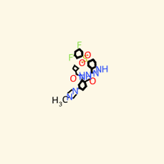 CN1CCN(c2ccc(C(=O)Nc3n[nH]c4ccc(S(=O)(=O)c5cc(F)cc(F)c5)cc34)c(NC(=O)C3CCC3)c2)CC1